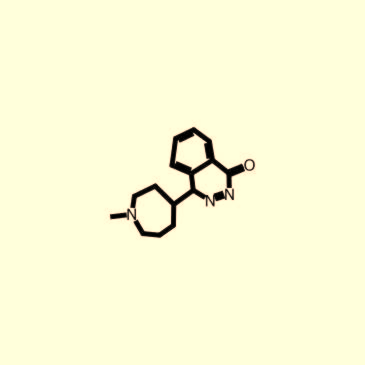 CN1CCCC(C2N=NC(=O)c3ccccc32)CC1